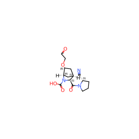 N#C[C@@H]1CCCN1C(=O)[C@@H]1[C@H]2C[C@H]([C@H](OCC=O)C2)N1C(=O)O